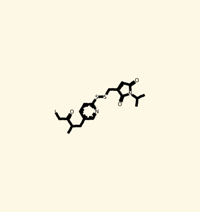 CC(Cc1ccc(SSCC2=CC(=O)N(C(C)C)C2=O)nc1)C(=O)CI